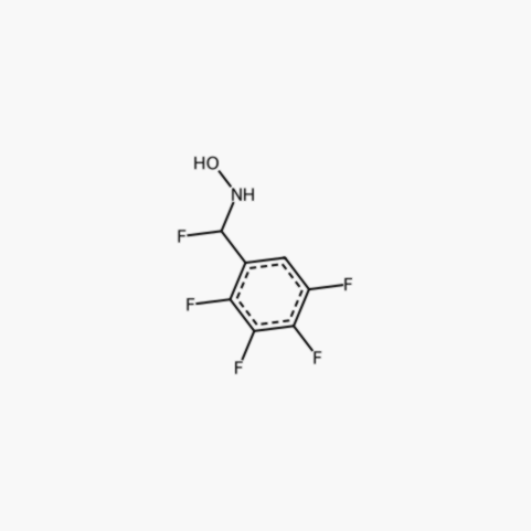 ONC(F)c1cc(F)c(F)c(F)c1F